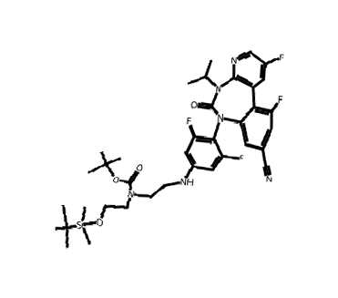 CC(C)N1C(=O)N(c2c(F)cc(NCCN(CCO[Si](C)(C)C(C)(C)C)C(=O)OC(C)(C)C)cc2F)c2cc(C#N)cc(F)c2-c2cc(F)cnc21